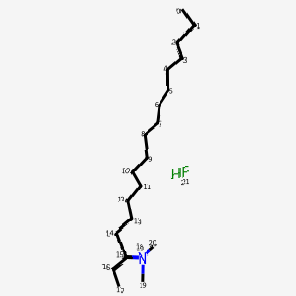 CCCCCCCCCCCCCCCC(CC)N(C)C.F